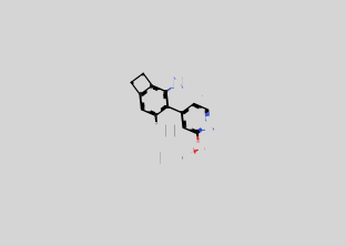 COc1cc(-c2c(C)cc3c(c2N)CC3)ccn1